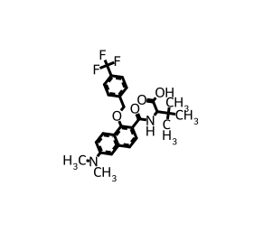 CN(C)c1ccc2c(OCc3ccc(C(F)(F)F)cc3)c(C(=O)NC(C(=O)O)C(C)(C)C)ccc2c1